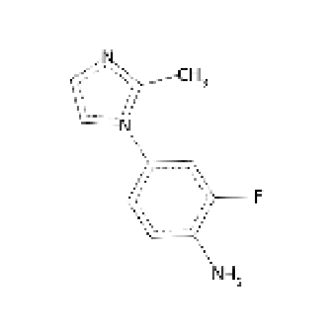 Cc1nccn1-c1ccc(N)c(F)c1